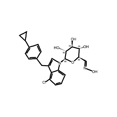 ON=C[C@H]1O[C@@H](n2cc(Cc3ccc(C4CC4)cc3)c3c(Cl)cccc32)[C@H](O)[C@@H](O)[C@@H]1O